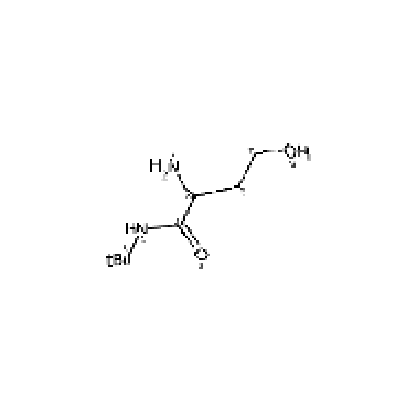 CC(C)(C)NC(=O)C(N)CCO